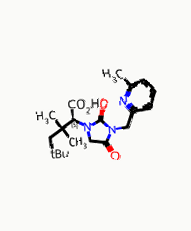 Cc1cccc(CN2C(=O)CN([C@H](C(=O)O)C(C)(C)CC(C)(C)C)C2=O)n1